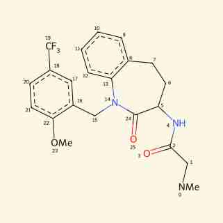 CNCC(=O)NC1CCc2ccccc2N(Cc2cc(C(F)(F)F)ccc2OC)C1=O